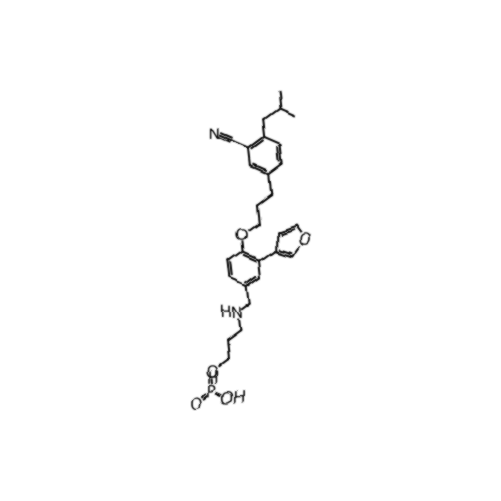 CC(C)Cc1ccc(CCCOc2ccc(CNCCCO[PH](=O)O)cc2-c2ccoc2)cc1C#N